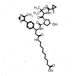 Cc1ncsc1-c1ccc(C(CC(=O)NCCCCCCCCC(=O)O)NC(=O)[C@@H]2C[C@@H](O)CN2C(=O)C(NC(=O)C2(F)CC2)C(C)(C)C)cc1